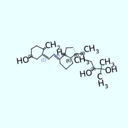 C=C1CC[C@H](O)C/C1=C/C=C1\CCC[C@]2(C)[C@@H]([C@H](C)CC[C@H](O)C(C)(C)O)CC[C@@H]12